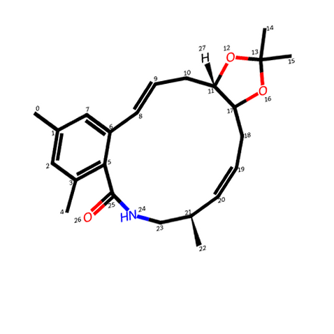 Cc1cc(C)c2c(c1)/C=C/C[C@@H]1OC(C)(C)OC1C/C=C\[C@@H](C)CNC2=O